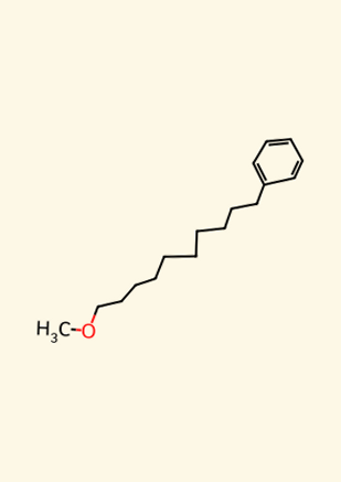 COCCCCCCCCCCc1ccccc1